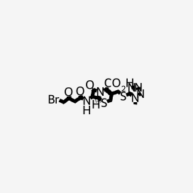 Cn1nnnc1SCC1=C(C(=O)O)N2C(=O)C(NC(=O)CC(=O)CBr)[C@@H]2SC1